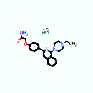 CCN1CCN(c2nc(-c3ccc(OCC(N)=O)cc3)cc3ccccc23)CC1.Cl.Cl